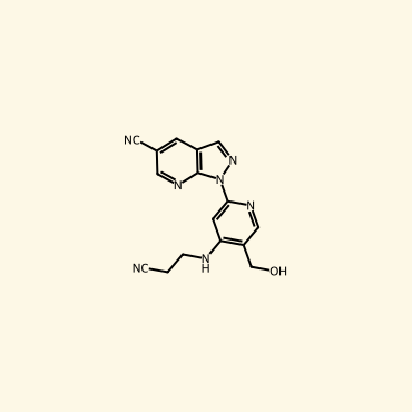 N#CCCNc1cc(-n2ncc3cc(C#N)cnc32)ncc1CO